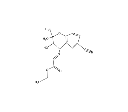 CCOC(=O)C=NC1c2cc(C#N)ccc2OC(C)(C)C1O